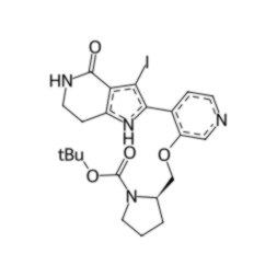 CC(C)(C)OC(=O)N1CCC[C@@H]1COc1cnccc1-c1[nH]c2c(c1I)C(=O)NCC2